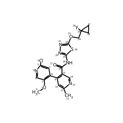 COc1cnc(Cl)cc1-c1cc(C)ncc1C(=O)Nc1nnc(OCC2(F)CC2)s1